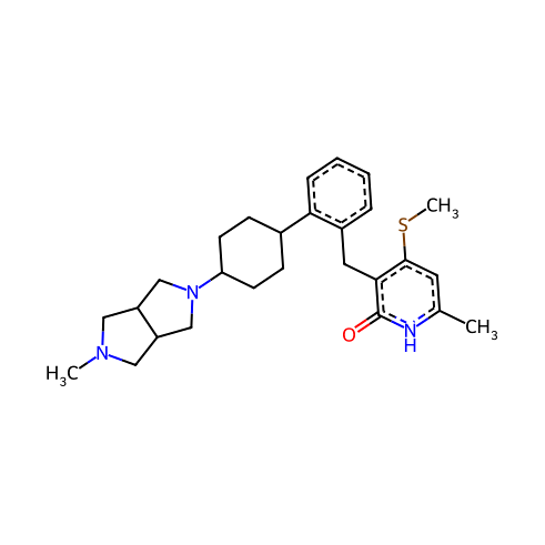 CSc1cc(C)[nH]c(=O)c1Cc1ccccc1C1CCC(N2CC3CN(C)CC3C2)CC1